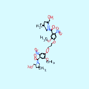 C=C1CC(CO)N(C(=O)c2cc(OC)c(OCCCOc3cc([N+](=O)[O-])c(C(=O)N4CC(=C)C[C@H]4CO)cc3OC)cc2[N+](=O)[O-])C1